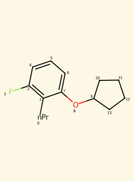 CCCc1c(F)cccc1OC1CCCC1